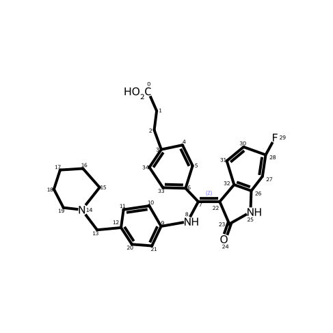 O=C(O)CCc1ccc(/C(Nc2ccc(CN3CCCCC3)cc2)=C2/C(=O)Nc3cc(F)ccc32)cc1